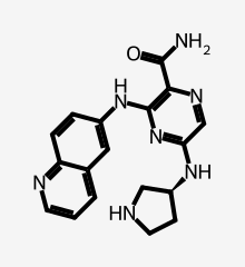 NC(=O)c1ncc(N[C@H]2CCNC2)nc1Nc1ccc2ncccc2c1